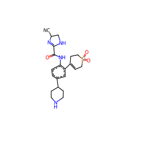 N#CC1CNC(C(=O)Nc2ccc(C3CCNCC3)cc2C2=CCS(=O)(=O)CC2)=N1